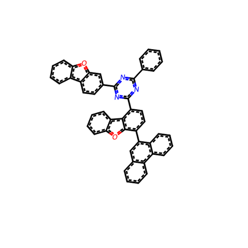 c1ccc(-c2nc(-c3ccc4c(c3)oc3ccccc34)nc(-c3ccc(-c4cc5ccccc5c5ccccc45)c4oc5ccccc5c34)n2)cc1